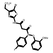 COc1ccccc1ON(C(=O)CC(=O)Nc1nc(CC(=O)O)c(Br)s1)c1ccc(F)cc1